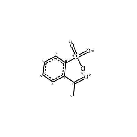 CC(=O)c1ccccc1S(=O)(=O)Cl